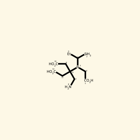 CCC([SiH3])N(CC(=O)O)C(CN)(CC(=O)O)CC(=O)O